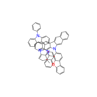 CC1C/C=C(c2cccc3ccccc23)/N=C(c2cccc3c2c2ccccc2n3-c2ccccc2)\N=C/1c1c(-n2c3cc4ccccc4cc3c3cc4ccccc4cc32)ccc2c1oc1ccccc12